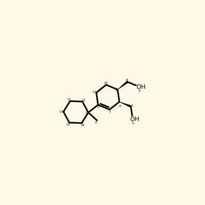 CC1(C2=C[C@H](CO)[C@H](CO)CC2)CCCCC1